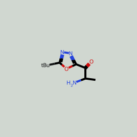 CC(N)C(=O)c1nnc(C(C)(C)C)o1